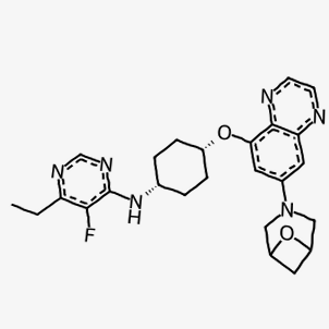 CCc1ncnc(N[C@H]2CC[C@@H](Oc3cc(N4CC5CC(C4)O5)cc4nccnc34)CC2)c1F